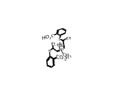 CCCC[N+](C)(CC(CC)Sc1ccccc1C(=O)O)CC(CC)Sc1ccccc1C(=O)O